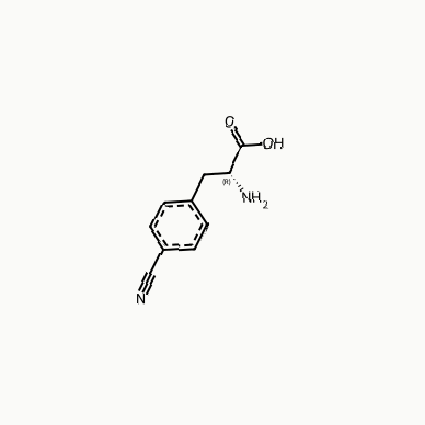 N#Cc1ccc(C[C@@H](N)C(=O)O)cc1